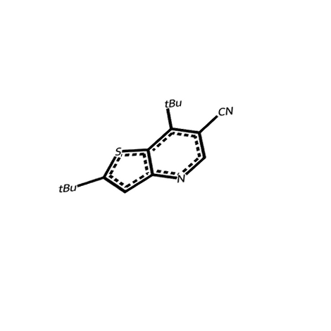 CC(C)(C)c1cc2ncc(C#N)c(C(C)(C)C)c2s1